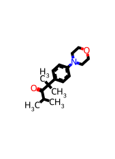 CC(C)C(=O)C(C)(C)c1ccc(N2CCOCC2)cc1